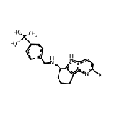 CC(C)(O)c1ccc(CN[C@@H]2CCCc3c2[nH]c2ccc(Br)nc32)cc1